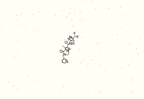 Cc1c(C(=O)Nc2nnc(C(F)F)s2)nn2c1C(=O)N(Cc1cccnc1)CC2